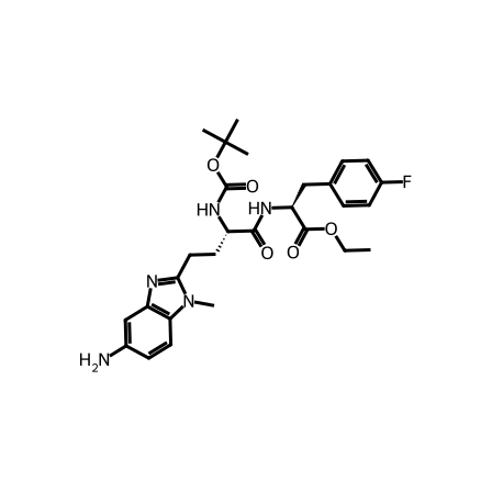 CCOC(=O)[C@H](Cc1ccc(F)cc1)NC(=O)[C@H](CCc1nc2cc(N)ccc2n1C)NC(=O)OC(C)(C)C